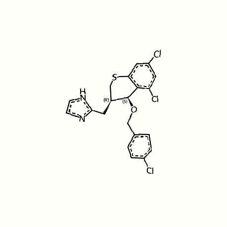 Clc1ccc(CO[C@@H]2c3c(Cl)cc(Cl)cc3SC[C@@H]2Cc2ncc[nH]2)cc1